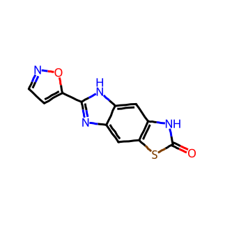 O=c1[nH]c2cc3[nH]c(-c4ccno4)nc3cc2s1